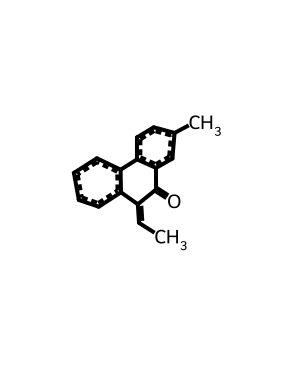 CC=C1C(=O)c2cc(C)ccc2-c2ccccc21